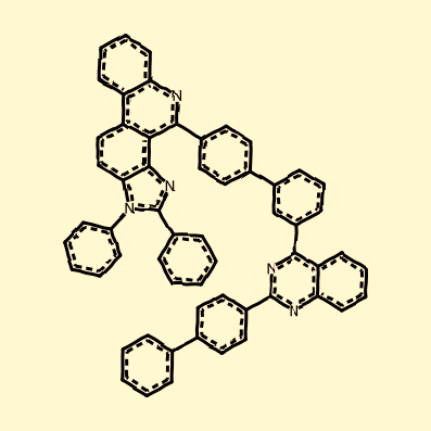 c1ccc(-c2ccc(-c3nc(-c4cccc(-c5ccc(-c6nc7ccccc7c7ccc8c(nc(-c9ccccc9)n8-c8ccccc8)c67)cc5)c4)c4ccccc4n3)cc2)cc1